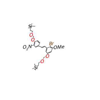 COc1cc(OCOCC[Si](C)(C)C)cc(/C=C/c2ccc(OCOCC[Si](C)(C)C)c([N+](=O)[O-])c2)c1Br